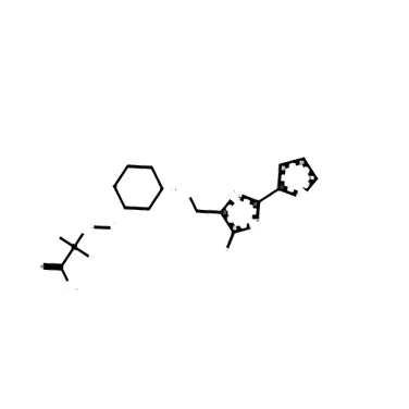 Cc1oc(-c2cccs2)nc1CO[C@H]1CCC[C@@H](COC(C)(C)C(=O)O)C1